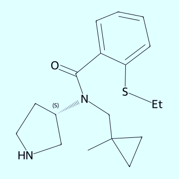 CCSc1ccccc1C(=O)N(CC1(C)CC1)[C@H]1CCNC1